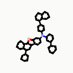 c1ccc(-c2cccc(N(c3ccc(-c4cccc5ccccc45)cc3)c3ccc4c(c3)oc3c5ccccc5c(-c5ccccc5)cc43)c2)cc1